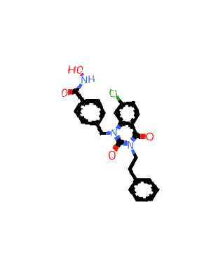 O=C(NO)c1ccc(Cn2c(=O)n(CCc3ccccc3)c(=O)c3ccc(Cl)cc32)cc1